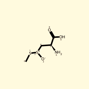 CS[S+]([O-])C[C@H](N)C(=O)O